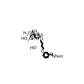 CCCCCOc1cccc(OCCCCOP(O)(=S)O[C@H](CC(=O)O)C[N+](C)(C)C)c1.[OH-]